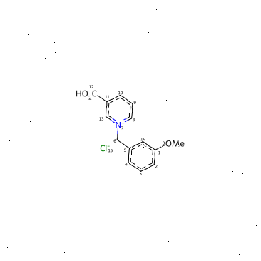 COc1cccc(C[n+]2cccc(C(=O)O)c2)c1.[Cl-]